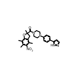 Cc1c(C)c([N+](=O)[O-])c(C)c2c1OC(C)(C(=O)N1CCN(c3ccc(-c4ccn[nH]4)cc3)CC1)C2